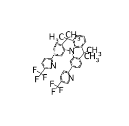 CC1(C)c2ccc(-c3ccc(C(F)(F)F)cn3)cc2N2c3cc(-c4ccc(C(F)(F)F)cn4)ccc3C(C)(C)c3cccc1c32